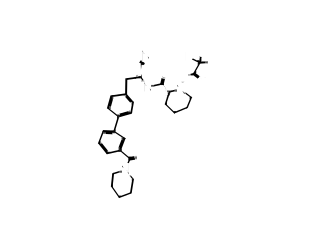 N#C[C@H](Cc1ccc(-c2cccc(C(=O)N3CCCCC3)c2)cc1)NC(=O)[C@@H]1CCCCN1OC(=O)C(F)(F)F